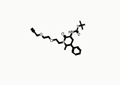 C#CCOCCOCCN1C(=O)C(NC(=O)OC(C)(C)C)CC(c2ccccc2)C1C